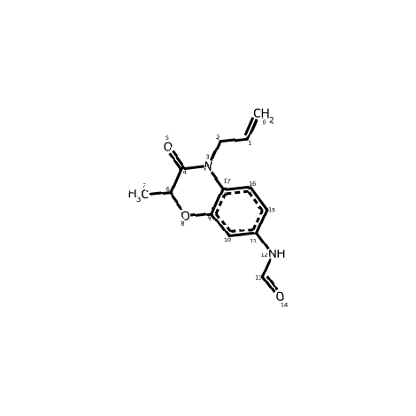 C=CCN1C(=O)C(C)Oc2cc(NC=O)ccc21